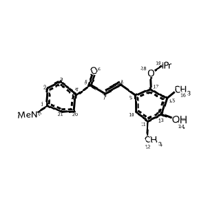 CNc1ccc(C(=O)C=Cc2cc(C)c(O)c(C)c2OC(C)C)cc1